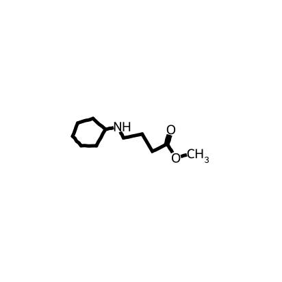 COC(=O)CCCNC1CCCCC1